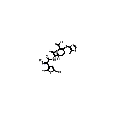 Cc1snnc1SC1=C(C(=O)O)N2C(=O)[C@@H](NC(=O)/C(=N\O)c3nc(N)sc3Cl)[C@H]2CC1